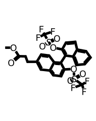 COC(=O)CCc1ccc2c(-c3c(OS(=O)(=O)C(F)(F)F)ccc4ccccc34)c(OS(=O)(=O)C(F)(F)F)ccc2c1